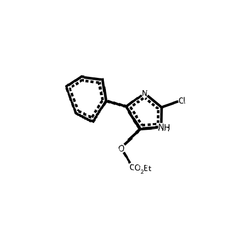 CCOC(=O)Oc1[nH]c(Cl)nc1-c1ccccc1